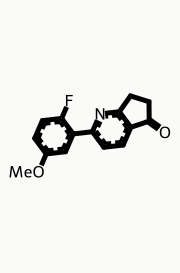 COc1ccc(F)c(-c2ccc3c(n2)CCC3=O)c1